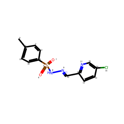 Cc1ccc(S(=O)(=O)N/N=C/c2ccc(Cl)cn2)cc1